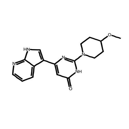 COC1CCN(c2nc(-c3c[nH]c4ncccc34)cc(=O)[nH]2)CC1